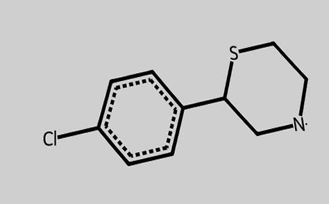 Clc1ccc(C2C[N]CCS2)cc1